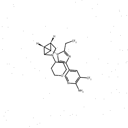 Nc1ncc(-c2cn([C@]34C5[C@@H]3[C@@H]4CN5C3CCOCC3)c(CC(F)(F)F)n2)cc1C(F)(F)F